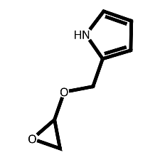 c1c[nH]c(COC2CO2)c1